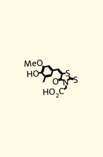 COc1cc(/C=C2/SC(=S)N(CC(=O)O)C2=O)cc(C)c1O